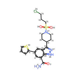 NC(=O)c1cc(-c2cccs2)cc2c(C3CCN(S(=O)(=O)CCCCl)CC3)n[nH]c12